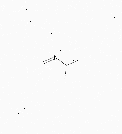 C=NC(C)C